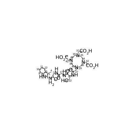 NC(=O)[C@H](Cc1c[nH]c2ccccc12)NC(=O)CNC(=O)C(CO)NC(=O)CN1CCN(CC(=O)O)CCN(CC(=O)O)CCN(CC(=O)O)CC1